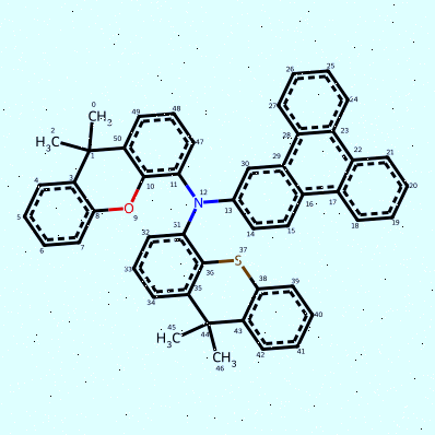 CC1(C)c2ccccc2Oc2c(N(c3ccc4c5ccccc5c5ccccc5c4c3)c3cccc4c3Sc3ccccc3C4(C)C)cccc21